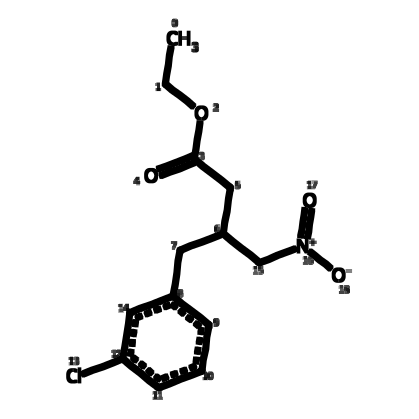 CCOC(=O)CC(Cc1cccc(Cl)c1)C[N+](=O)[O-]